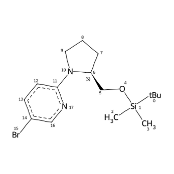 CC(C)(C)[Si](C)(C)OC[C@@H]1CCCN1c1ccc(Br)cn1